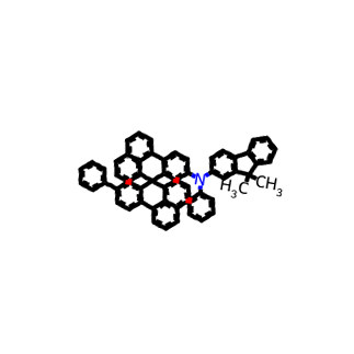 CC1(C)c2ccccc2-c2ccc(N(c3ccccc3)c3ccc4c(c3)C3(c5cc(-c6ccccc6)ccc5-c5cccc6cccc3c56)c3cccc5cccc-4c35)cc21